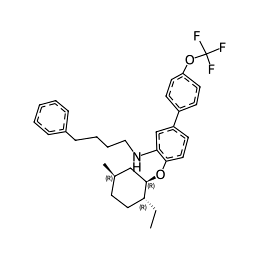 CC[C@@H]1CC[C@@H](C)C[C@H]1Oc1ccc(-c2ccc(OC(F)(F)F)cc2)cc1NCCCCc1ccccc1